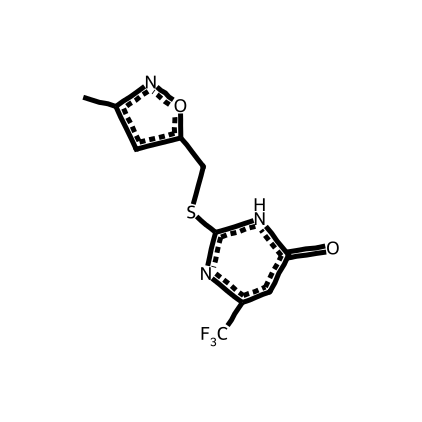 Cc1cc(CSc2nc(C(F)(F)F)cc(=O)[nH]2)on1